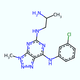 CC(N)CNc1nc(Nc2cccc(Cl)c2)c2nnn(C)c2n1